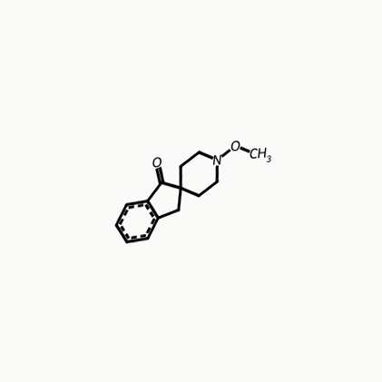 CON1CCC2(CC1)Cc1ccccc1C2=O